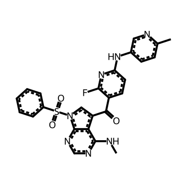 CNc1ncnc2c1c(C(=O)c1ccc(Nc3ccc(C)nc3)nc1F)cn2S(=O)(=O)c1ccccc1